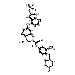 CCC[C@H]1CN(C(=O)Nc2ccc(CN3CCN(C)CC3)c(C(F)(F)F)c2)Cc2cc(Oc3ccnc4[nH]c(CS(C)(=O)=O)cc34)cnc21